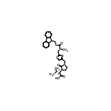 CC(C)[C@@H](C(=O)O)N1CCN(Cc2csc(CN(C)C(=O)OCC3c4ccccc4-c4ccccc43)n2)C1=O